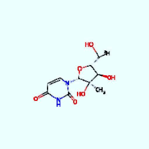 [2H]C(O)[C@H]1O[C@@H](n2ccc(=O)[nH]c2=O)[C@](C)(O)[C@@H]1O